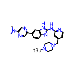 CN(C)c1cnc(-c2ccc3nc(Nc4cc(CN5CCN(C(C)(C)C)CC5)ccn4)[nH]c3c2)cn1